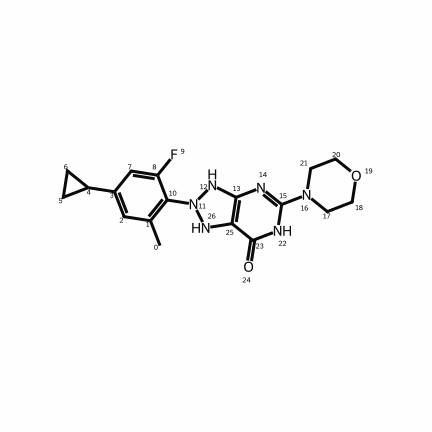 Cc1cc(C2CC2)cc(F)c1N1Nc2nc(N3CCOCC3)[nH]c(=O)c2N1